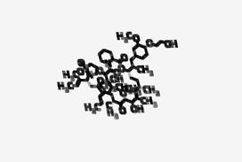 C/C=C/[C@@H](C)C[C@@H](C)C(=O)[C@H](OC)[C@H](O)/C(C)=C/[C@@H](C)CC[C@H](OC(=O)[C@@H]1CCCCN1C(=O)C(=O)[C@]1(O)O[C@H](C[C@H](/C(C)=C/C)N2CCCS2(=O)=O)CC[C@H]1C)[C@H](C)C[C@@H]1CC[C@@H](OCCO)[C@H](OC)C1